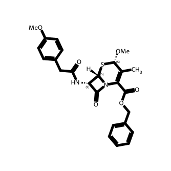 COc1ccc(CC(=O)N[C@H]2C(=O)N3C(C(=O)OCc4ccccc4)=C(C)[C@@H](OC)S[C@@H]23)cc1